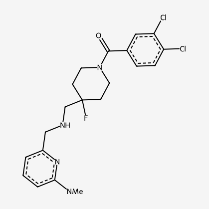 CNc1cccc(CNCC2(F)CCN(C(=O)c3ccc(Cl)c(Cl)c3)CC2)n1